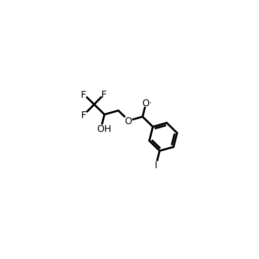 [O]C(OCC(O)C(F)(F)F)c1cccc(I)c1